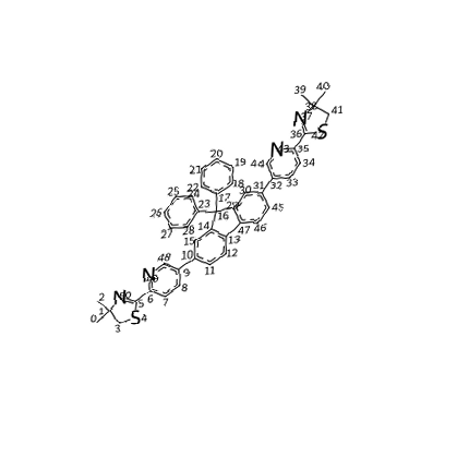 CC1(C)CSC(c2ccc(-c3ccc4c(c3)C(c3ccccc3)(c3ccccc3)c3cc(-c5ccc(C6=NC(C)(C)CS6)nc5)ccc3-4)cn2)=N1